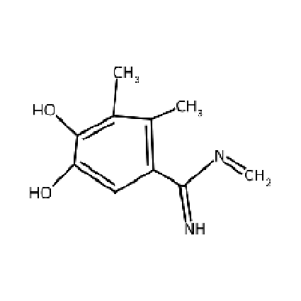 C=NC(=N)c1cc(O)c(O)c(C)c1C